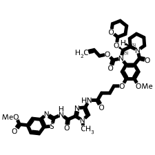 C=CCOC(=O)N1c2cc(OCCCC(=O)Nc3cn(C)c(C(=O)Nc4nc5cc(C(=O)OC)ccc5s4)n3)c(OC)cc2C(=O)N2CCCC[C@H]2[C@@H]1OC1CCCCO1